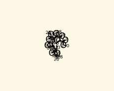 COC(=O)c1cn([C@@H]2COC[C@H]2N(C)C(=O)OC(C)(C)C)c(C(=O)OC)c(OC)c1=O